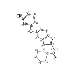 C[C@H](Nc1nc2ccc(Oc3ccnc(Cl)n3)cc2s1)C1CCCCC1